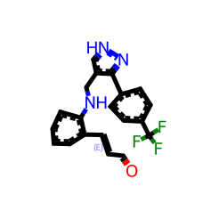 O=C/C=C/c1ccccc1NCc1c[nH]nc1-c1ccc(C(F)(F)F)cc1